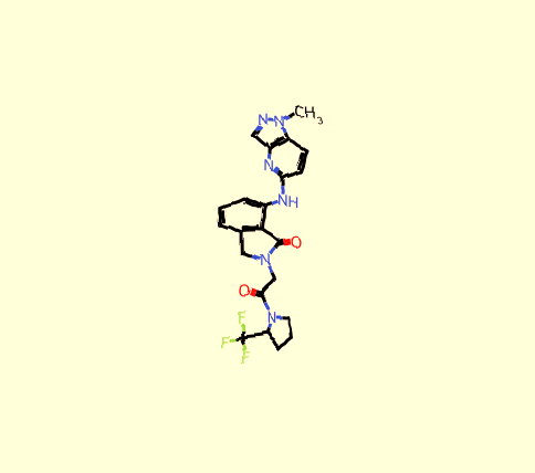 Cn1ncc2nc(Nc3cccc4c3C(=O)N(CC(=O)N3CCCC3C(F)(F)F)C4)ccc21